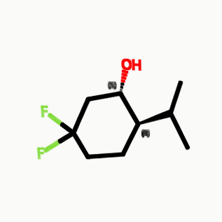 CC(C)[C@H]1CCC(F)(F)C[C@@H]1O